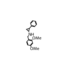 COc1ccc(CN[C@@H]2CC2c2ccccc2)c(OC)c1